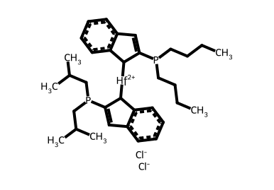 CCCCP(CCCC)C1=Cc2ccccc2[CH]1[Hf+2][CH]1C(P(CC(C)C)CC(C)C)=Cc2ccccc21.[Cl-].[Cl-]